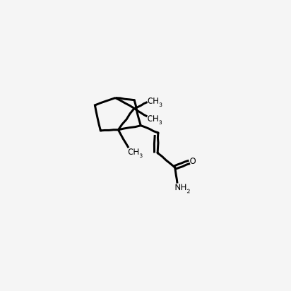 CC1(C)C2CCC1(C)C(C=CC(N)=O)C2